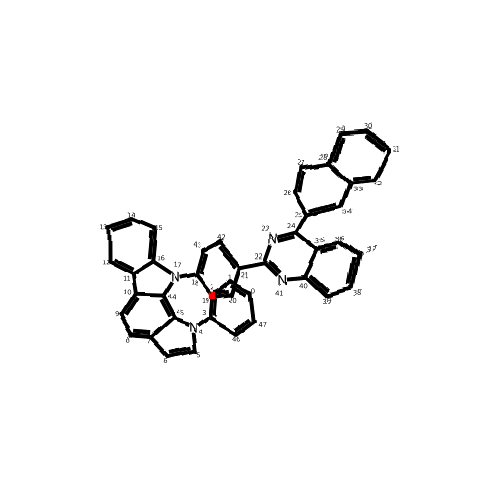 c1ccc(-n2ccc3ccc4c5ccccc5n(-c5ccc(-c6nc(-c7ccc8ccccc8c7)c7ccccc7n6)cc5)c4c32)cc1